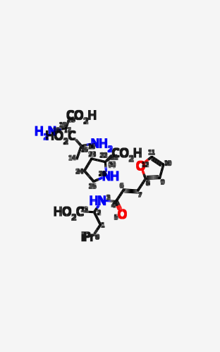 CC(C)CC(NC(=O)C=Cc1ccco1)C(=O)O.CC(N)C(=O)O.NCC(=O)O.O=C(O)[C@@H]1CCCN1